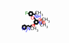 C[C@@H](NC(=O)c1cc(OCC(C)(N)Cc2ccccc2)cc(N(C)S(C)(=O)=O)c1)c1ccc(F)cc1